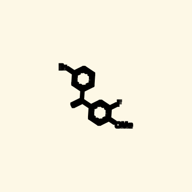 C=C(c1cccc(Br)c1)c1ccc(OC)c(F)c1